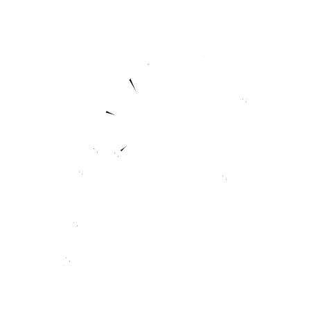 CO[C@@H]1[C@@H](n2cc(-c3csc(N)n3)nn2)[C@@H](O)[C@@H](CO)O[C@@H]1Sc1cc(Cl)cnc1-c1cccnc1